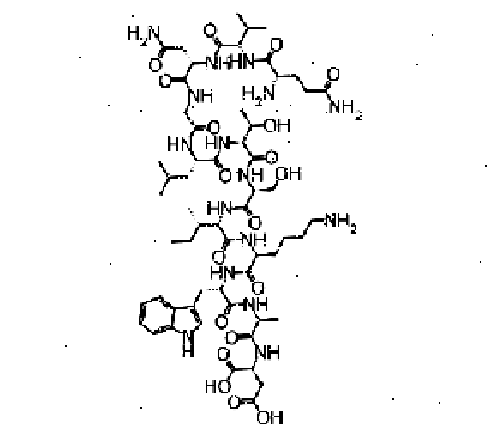 CC[C@H](C)[C@H](NC(=O)[C@H](CO)NC(=O)[C@@H](NC(=O)[C@H](CC(C)C)NC(=O)CNC(=O)[C@H](CC(N)=O)NC(=O)[C@@H](NC(=O)[C@@H](N)CCC(N)=O)C(C)C)[C@@H](C)O)C(=O)N[C@@H](CCCCN)C(=O)N[C@@H](Cc1c[nH]c2ccccc12)C(=O)N[C@@H](C)C(=O)N[C@@H](CC(=O)O)C(=O)O